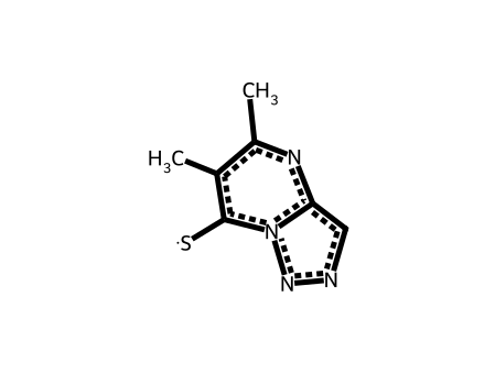 Cc1nc2cnnn2c([S])c1C